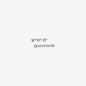 [O-2].[O-2].[O]=[Y]=[O].[Si+4]